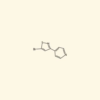 Brc1cc(-c2ccncc2)ns1